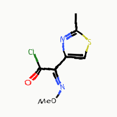 CON=C(C(=O)Cl)c1csc(C)n1